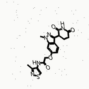 Cc1nscc1NC(=O)COc1ccc2c(C3CCC(=O)NC3=O)nn(C)c2c1